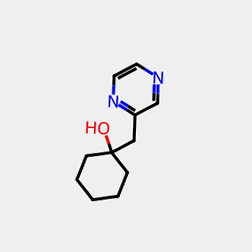 OC1(Cc2cnccn2)CCCCC1